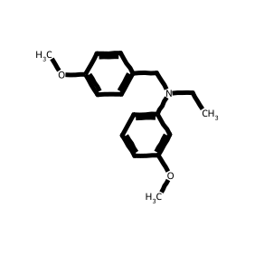 CCN(Cc1ccc(OC)cc1)c1cccc(OC)c1